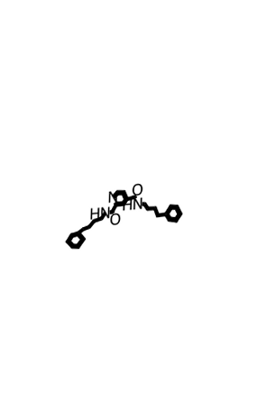 O=C(NCCCCc1ccccc1)c1ccnc(C(=O)NCCCCc2ccccc2)c1